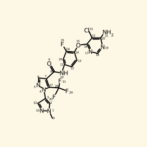 Cn1cc(-n2ncc(C(=O)Nc3ccc(Oc4ncnc(N)c4Cl)c(F)c3)c2C(F)(F)F)cn1